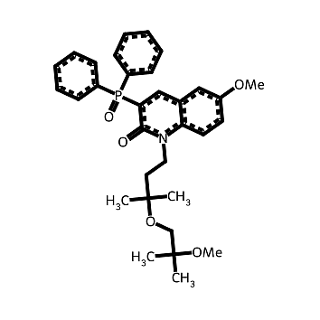 COc1ccc2c(c1)cc(P(=O)(c1ccccc1)c1ccccc1)c(=O)n2CCC(C)(C)OCC(C)(C)OC